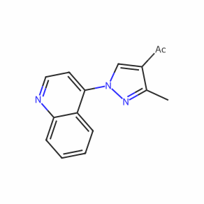 CC(=O)c1cn(-c2ccnc3ccccc23)nc1C